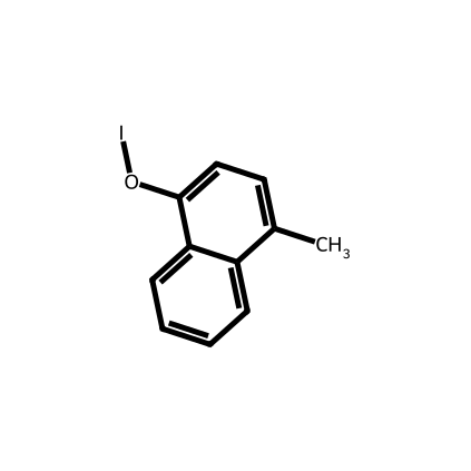 Cc1ccc(OI)c2ccccc12